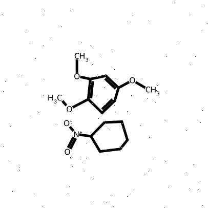 COc1ccc(OC)c(OC)c1.O=[N+]([O-])C1CCCCC1